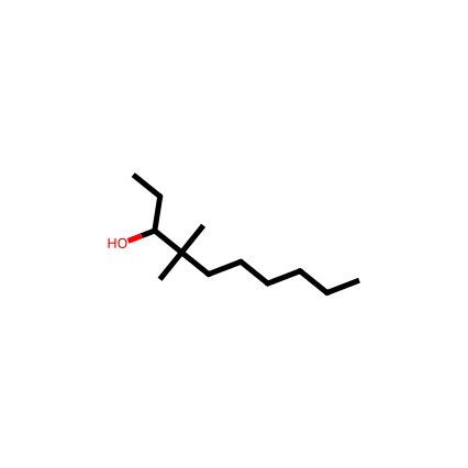 CCCCCCC(C)(C)C(O)CC